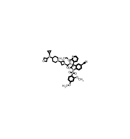 CCOc1ncccc1[C@]1(NC(=O)N2CC(N3CCC(N(C4CC4)C4COC4)CC3)C2)C(=O)N(S(=O)(=O)c2ccc(OC)cc2OC)c2ccc(C#N)cc21